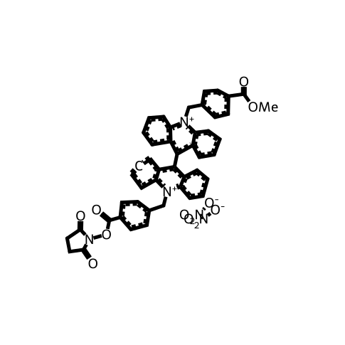 COC(=O)c1ccc(C[n+]2c3ccccc3c(-c3c4ccccc4[n+](Cc4ccc(C(=O)ON5C(=O)CCC5=O)cc4)c4ccccc34)c3ccccc32)cc1.O=[N+]([O-])[O-].O=[N+]([O-])[O-]